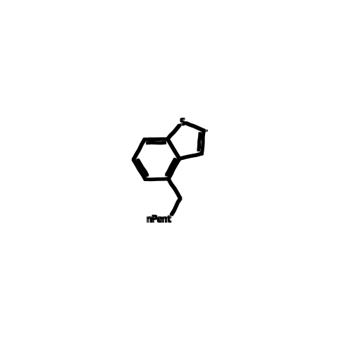 CCCCCCc1cccc2s[c]cc12